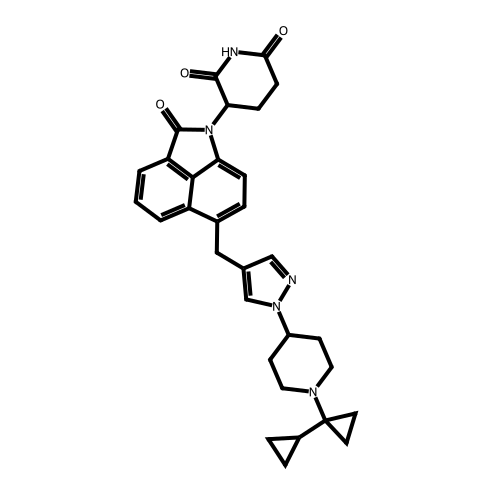 O=C1CCC(N2C(=O)c3cccc4c(Cc5cnn(C6CCN(C7(C8CC8)CC7)CC6)c5)ccc2c34)C(=O)N1